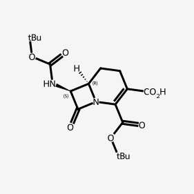 CC(C)(C)OC(=O)N[C@@H]1C(=O)N2C(C(=O)OC(C)(C)C)=C(C(=O)O)CC[C@H]12